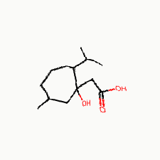 CC1CCC(C(C)C)C(O)(CC(=O)O)C1